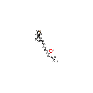 COCC(C/C=C/C#CC(C)(C)C)CCCC/C=C/c1cccc(-c2ccsc2)c1